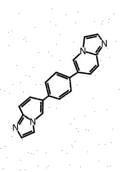 c1cn2cc(-c3ccc(-c4ccc5nccn5c4)cc3)ccc2n1